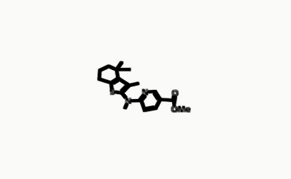 COC(=O)c1ccc(N(C)c2sc3c(c2C)C(C)(C)CCC3)nc1